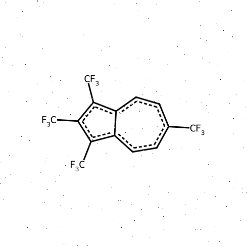 FC(F)(F)c1ccc2c(C(F)(F)F)c(C(F)(F)F)c(C(F)(F)F)c-2cc1